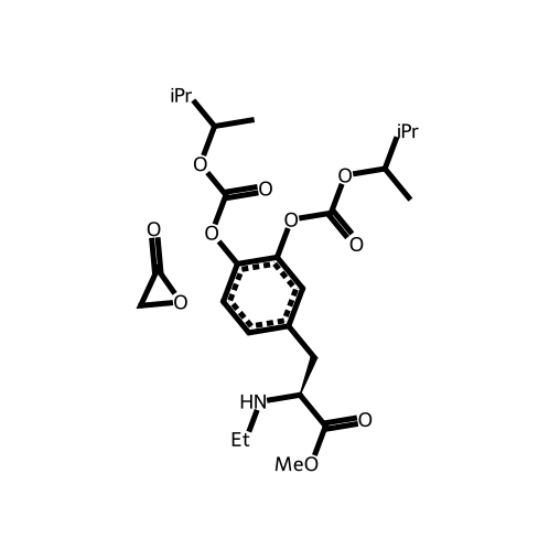 CCN[C@@H](Cc1ccc(OC(=O)OC(C)C(C)C)c(OC(=O)OC(C)C(C)C)c1)C(=O)OC.O=C1CO1